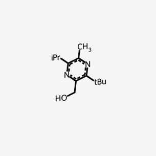 Cc1nc(C(C)(C)C)c(CO)nc1C(C)C